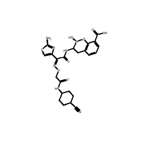 N#CC1CCC(NC(=O)CO/N=C(\C(=O)NC2Cc3cccc(C(=O)O)c3OB2O)c2csc(N)n2)CC1